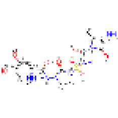 C[C@H]1[C@H](N)C(=O)N1C(=O)NS(=O)(=O)N1CCN(NC(=O)c2cc(=O)c(O)c[nH]2)C1=O